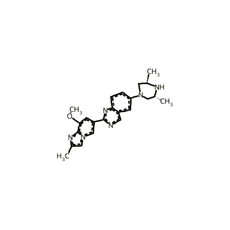 COc1cc(-c2ncc3cc(N4C[C@@H](C)N[C@H](C)C4)ccc3n2)cn2cc(C)nc12